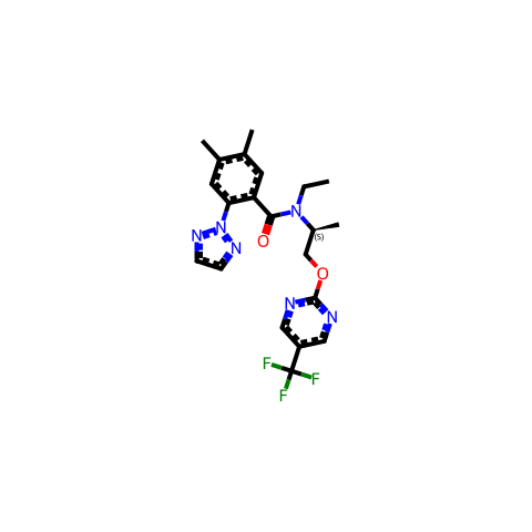 CCN(C(=O)c1cc(C)c(C)cc1-n1nccn1)[C@@H](C)COc1ncc(C(F)(F)F)cn1